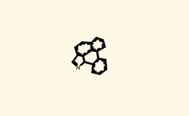 C1=NC2c3ccccc3-c3cccc4ccc1c2c34